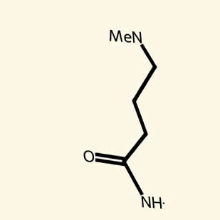 CNCCCC([NH])=O